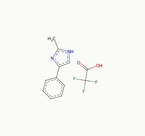 Cc1nc(-c2ccccc2)c[nH]1.O=C(O)C(F)(F)F